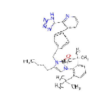 CCCCc1cn(-c2c(C(C)(C)C)cccc2C(C)(C)C)c(=O)n1Cc1ccc(-c2cccnc2-c2nnn[nH]2)cc1